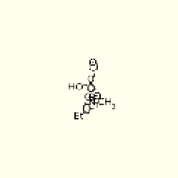 CCc1ccc2c(c1)CC(C)N2S(=O)(=O)c1ccc(OCC2CCOCC2)c(CO)c1